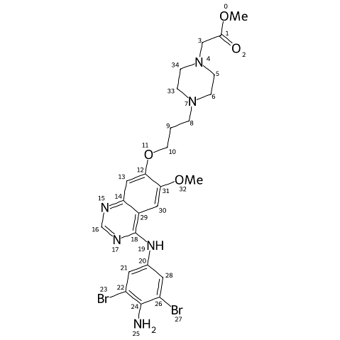 COC(=O)CN1CCN(CCCOc2cc3ncnc(Nc4cc(Br)c(N)c(Br)c4)c3cc2OC)CC1